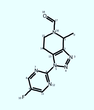 CC1c2nnn(-c3ncc(F)cn3)c2CCN1C=O